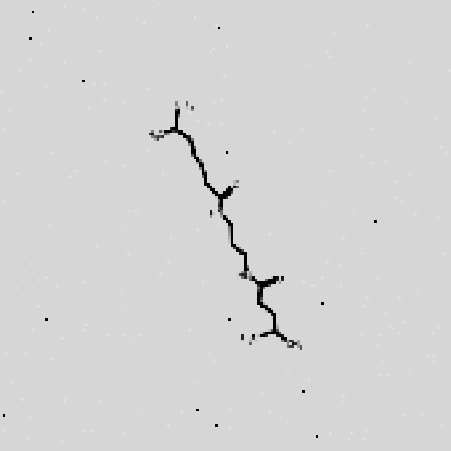 CC(C)CCCCC(=O)NCCCNC(=O)CCC(C)C